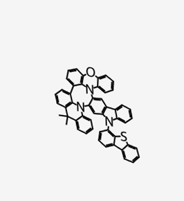 CC1(C)c2ccccc2-n2c3cc4c(cc3n3c5c(cccc5c5cccc1c52)Oc1ccccc1-3)c1ccccc1n4-c1cccc2c1sc1ccccc12